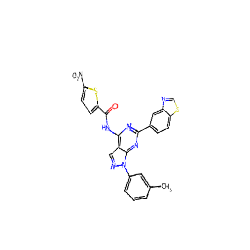 Cc1cccc(-n2ncc3c(NC(=O)c4ccc([N+](=O)[O-])s4)nc(-c4ccc5scnc5c4)nc32)c1